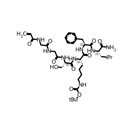 C=CC(=O)NCC(=O)NCC(=O)N[C@@H](CO)C(=O)N[C@@H](CCCCNC(=O)OC(C)(C)C)C(=O)N[C@@H](Cc1ccccc1)C(=O)N[C@@H](CC(C)C)C(N)=O